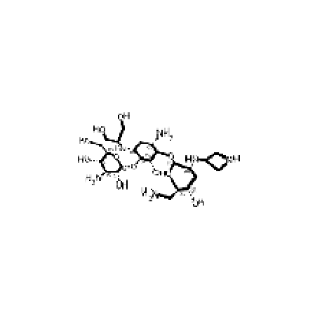 NC[C@H]1O[C@H](OC2[C@@H](N)C[C@@H](NC(CO)CO)[C@H](O[C@H]3O[C@H](CO)[C@@H](O)[C@H](N)[C@H]3O)[C@H]2O)[C@H](NC2CNC2)C[C@@H]1O